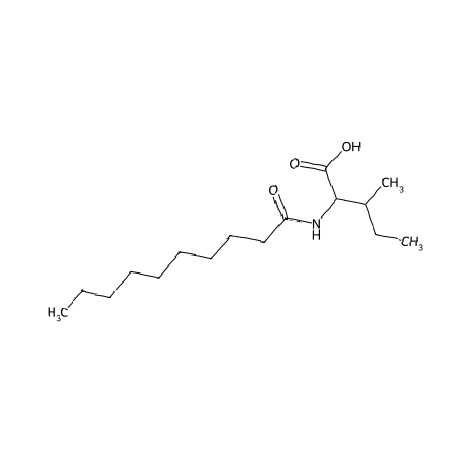 CCCCCCCCCC(=O)NC(C(=O)O)C(C)CC